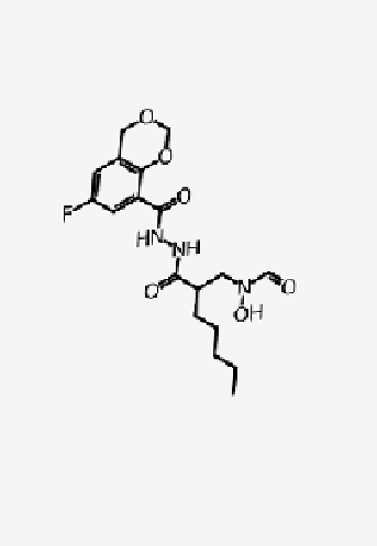 CCCCC[C@H](CN(O)C=O)C(=O)NNC(=O)c1cc(F)cc2c1OCOC2